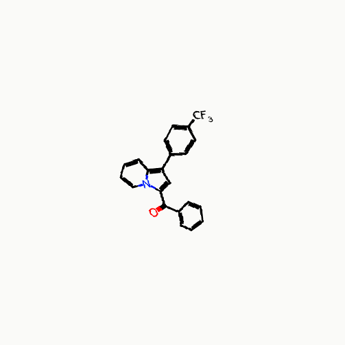 O=C(c1ccccc1)c1cc(-c2ccc(C(F)(F)F)cc2)c2ccccn12